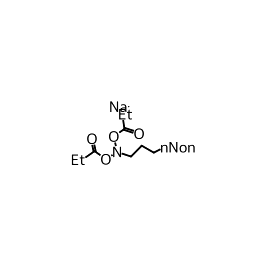 CCCCCCCCCCCCN(OC(=O)CC)OC(=O)CC.[Na]